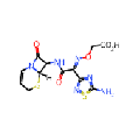 Nc1nc(C(=NOCC(=O)O)C(=O)NC2C(=O)N3C=CCS[C@@H]23)ns1